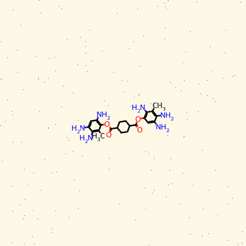 Cc1c(N)c(N)cc(OC(=O)C2CCC(C(=O)Oc3c(N)cc(N)c(N)c3C)CC2)c1N